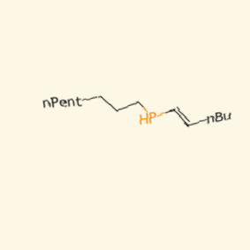 CCCCC=CPCCCCCCCC